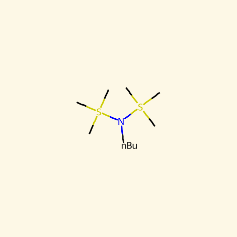 CCCCN(S(C)(C)C)S(C)(C)C